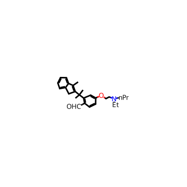 CCCN(CC)CCOc1ccc(C=O)c(C(C)(C)C2=C(C)c3ccccc3C2)c1